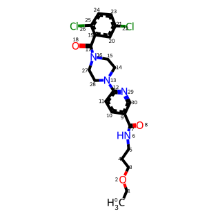 CCOCCCNC(=O)c1ccc(N2CCN(C(=O)c3cc(Cl)ccc3Cl)CC2)nc1